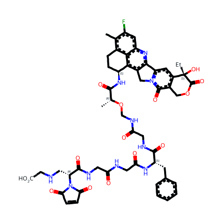 CC[C@@]1(O)C(=O)OCc2c1cc1n(c2=O)Cc2c-1nc1cc(F)c(C)c3c1c2[C@@H](NC(=O)[C@@H](C)OCNC(=O)CNC(=O)[C@H](Cc1ccccc1)NC(=O)CNC(=O)CNC(=O)[C@@H](CNCC(=O)O)N1C(=O)C=CC1=O)CC3